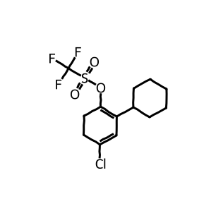 O=S(=O)(OC1=C(C2CCCCC2)C=C(Cl)CC1)C(F)(F)F